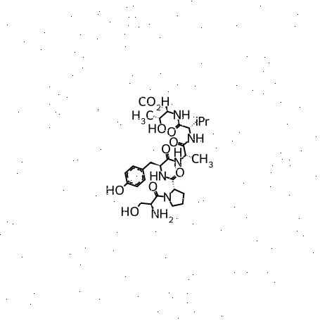 CC(C)[C@H](NC(=O)[C@H](C)NC(=O)[C@H](Cc1ccc(O)cc1)NC(=O)[C@@H]1CCCN1C(=O)[C@@H](N)CO)C(=O)N[C@H](C(=O)O)[C@@H](C)O